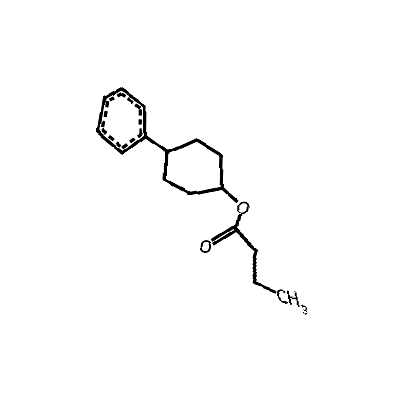 CCCC(=O)OC1CCC(c2ccccc2)CC1